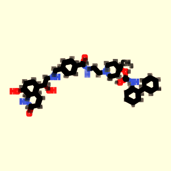 CC1(OC(=O)Nc2ccccc2-c2ccccc2)CCN(CCNC(=O)c2ccc(CNC[C@@H](O)c3ccc(O)c4[nH]c(=O)ccc34)cc2)CC1